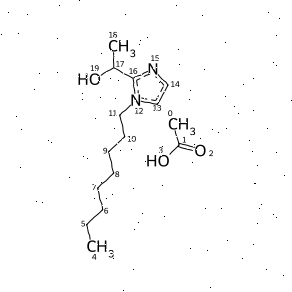 CC(=O)O.CCCCCCCCn1ccnc1C(C)O